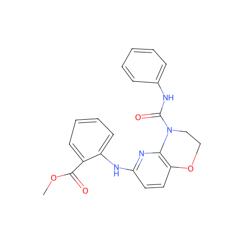 COC(=O)c1ccccc1Nc1ccc2c(n1)N(C(=O)Nc1ccccc1)CCO2